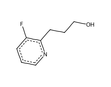 OCCCc1ncccc1F